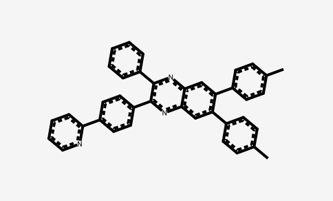 Cc1ccc(-c2cc3nc(-c4ccccc4)c(-c4ccc(-c5ccccn5)cc4)nc3cc2-c2ccc(C)cc2)cc1